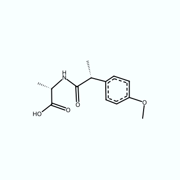 COc1ccc([C@@H](C)C(=O)N[C@@H](C)C(=O)O)cc1